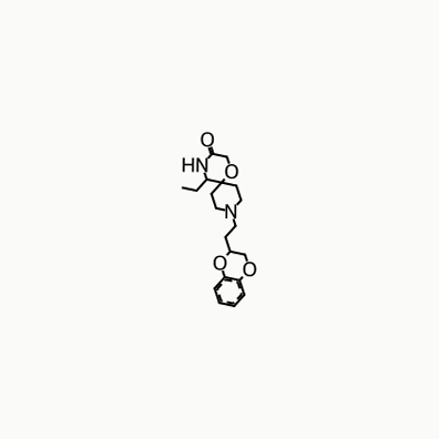 CCC1NC(=O)COC12CCN(CCC1COc3ccccc3O1)CC2